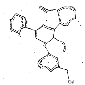 N#Cc1ccccc1C1=CC(c2ccccn2)=CN(c2cccc(CO)c2)C1C=O